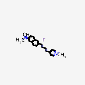 CN(C)c1ccc2cc(/C=C/C=C/c3cc[n+](C)cc3)ccc2c1.[I-]